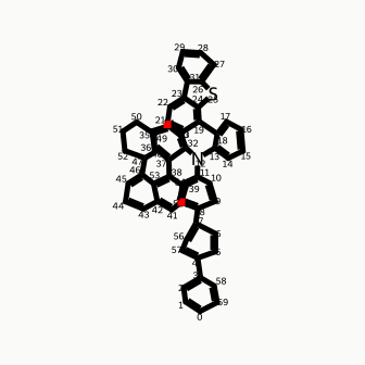 c1ccc(-c2ccc(-c3ccc(N(c4ccccc4-c4cccc5c4sc4ccccc45)c4ccccc4-c4cccc5cccc(C6CCCCC6)c45)cc3)cc2)cc1